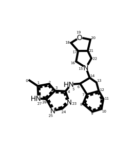 Cc1cc2c(NC3c4ccccc4CC3N3CC4COCC4C3)ncnc2[nH]1